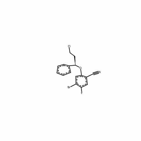 N#Cc1cc(F)c(Br)cc1O[C@H](CCCl)c1ccccc1